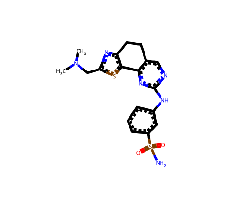 CN(C)Cc1nc2c(s1)-c1nc(Nc3cccc(S(N)(=O)=O)c3)ncc1CC2